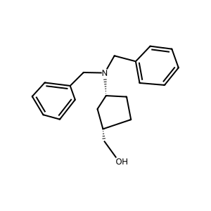 OC[C@H]1CC[C@@H](N(Cc2ccccc2)Cc2ccccc2)C1